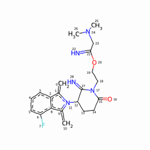 C=c1c2cccc(F)c2c(=C)n1C1CCC(=O)N(CCOC(=N)CN(C)C)C1=N